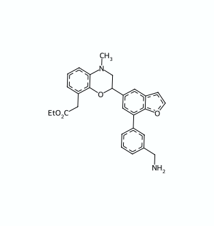 CCOC(=O)Cc1cccc2c1OC(c1cc(-c3cccc(CN)c3)c3occc3c1)CN2C